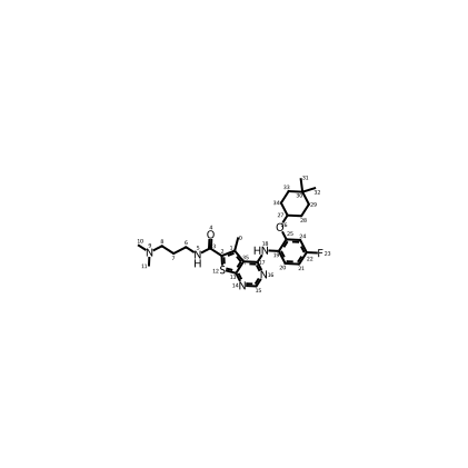 Cc1c(C(=O)NCCCN(C)C)sc2ncnc(Nc3ccc(F)cc3OC3CCC(C)(C)CC3)c12